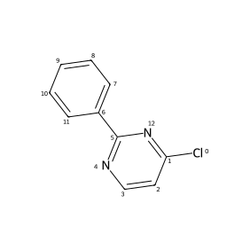 Clc1ccnc(-c2ccccc2)n1